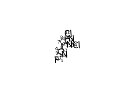 FCc1ccc(C2CCc3c(Cl)nc(Cl)nc32)cn1